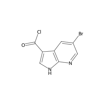 O=C(Cl)c1c[nH]c2ncc(Br)cc12